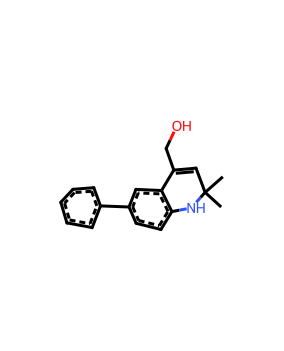 CC1(C)C=C(CO)c2cc(-c3ccccc3)ccc2N1